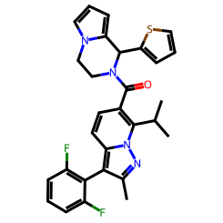 Cc1nn2c(C(C)C)c(C(=O)N3CCn4cccc4C3c3cccs3)ccc2c1-c1c(F)cccc1F